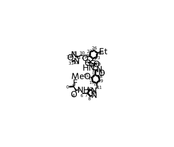 C=C(F)C(=O)NCc1cnn(Cc2cc(OC)c3c(NS(=O)(=O)c4cc(CC)ccc4OCc4ncon4)noc3c2)c1